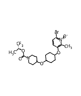 Cc1c(OC2CCC(OC3CCN(C(=O)O[C@H](C)C(F)(F)F)CC3)CC2)ccc(Br)[n+]1[O-]